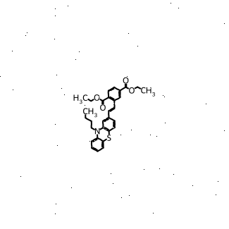 CCCCN1c2ccccc2Sc2ccc(C=Cc3cc(C(=O)OCC)ccc3C(=O)OCC)cc21